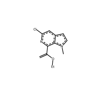 C=C(OCC)c1nc(Cl)cc2ccn(C)c12